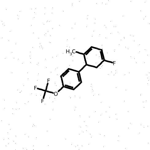 CC1=CC=C(F)CC1c1ccc(OC(F)(F)F)cc1